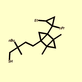 CCCCC(C)(CS)CCC12CC1(C1(CCC)CC1CC)C1(C)CC12C